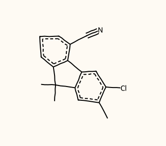 Cc1cc2c(cc1Cl)-c1c(C#N)cccc1C2(C)C